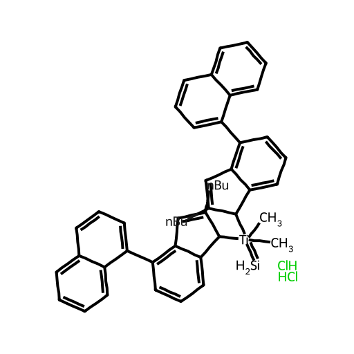 CCCCC1=Cc2c(-c3cccc4ccccc34)cccc2[CH]1[Ti]([CH3])([CH3])(=[SiH2])[CH]1C(CCCC)=Cc2c(-c3cccc4ccccc34)cccc21.Cl.Cl